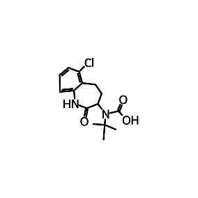 CC(C)(C)N(C(=O)O)C1CCc2c(Cl)cccc2NC1=O